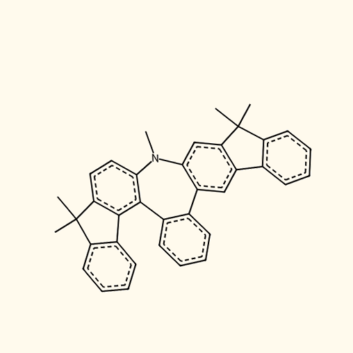 CN1c2cc3c(cc2-c2ccccc2-c2c1ccc1c2-c2ccccc2C1(C)C)-c1ccccc1C3(C)C